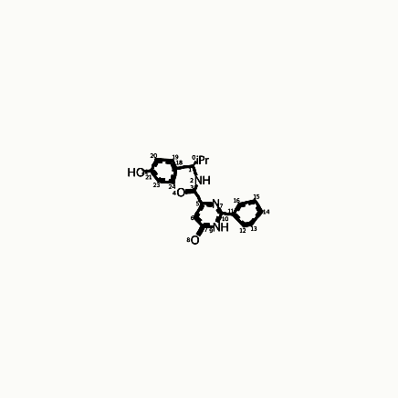 CC(C)[C@@H](NC(=O)c1cc(=O)[nH]c(-c2ccccc2)n1)c1ccc(O)cc1